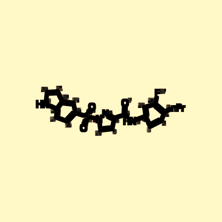 CCCc1ccc(NC(=O)c2ccn(S(=O)(=O)c3ccc4[nH]ccc4c3)n2)cc1F